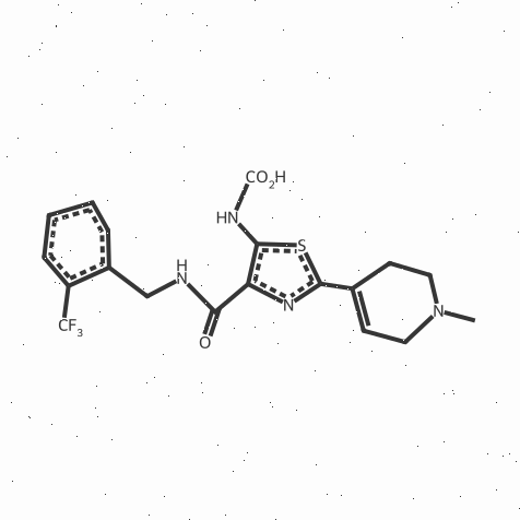 CN1CC=C(c2nc(C(=O)NCc3ccccc3C(F)(F)F)c(NC(=O)O)s2)CC1